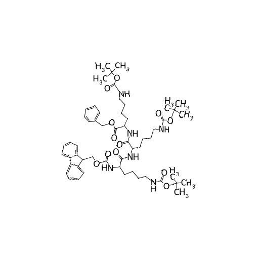 CC(C)(C)OC(=O)NCCCCC(NC(=O)OCC1c2ccccc2-c2ccccc21)C(=O)NC(CCCCNC(=O)OC(C)(C)C)C(=O)NC(CCCCNC(=O)OC(C)(C)C)C(=O)OCc1ccccc1